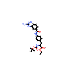 CCOC(=O)C(Cc1ccc(NC(=O)c2cccc(NC(=N)N)c2)cc1)NC(=O)OC(C)(C)C